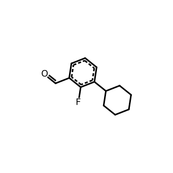 O=Cc1cccc(C2CCCCC2)c1F